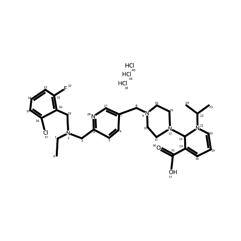 CCN(Cc1ccc(CN2CCN(C3C(C(=O)O)=CC=CN3C(C)C)CC2)cn1)Cc1c(F)cccc1Cl.Cl.Cl.Cl